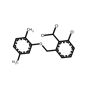 Cc1ccc(C)c(OCc2cccc(Cl)c2C(Cl)Cl)c1